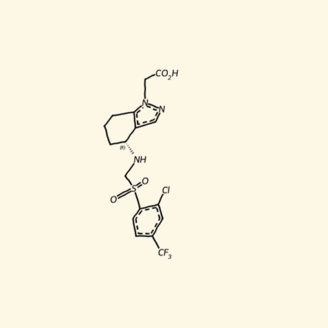 O=C(O)Cn1ncc2c1CCC[C@H]2NCS(=O)(=O)c1ccc(C(F)(F)F)cc1Cl